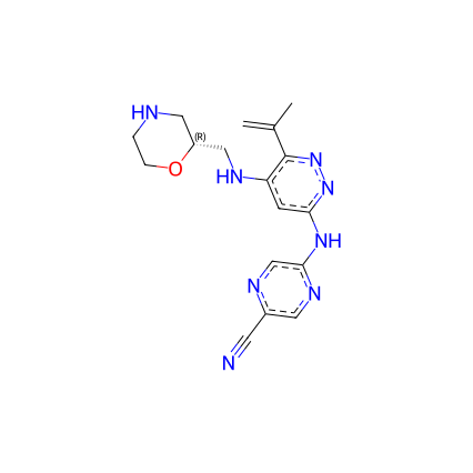 C=C(C)c1nnc(Nc2cnc(C#N)cn2)cc1NC[C@H]1CNCCO1